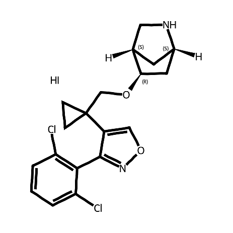 Clc1cccc(Cl)c1-c1nocc1C1(CO[C@@H]2C[C@@H]3C[C@H]2CN3)CC1.I